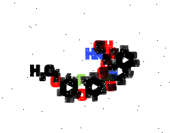 CCOc1ccc(Oc2ccc(S(=O)(=O)N3CCc4ccccc4[C@H]3OC(=O)NO)cc2F)cc1